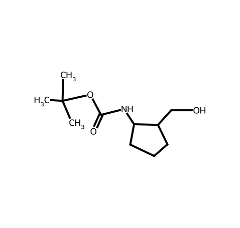 CC(C)(C)OC(=O)NC1CCCC1CO